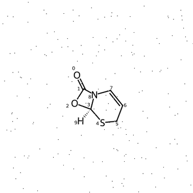 O=C1O[C@@H]2SCC=CN12